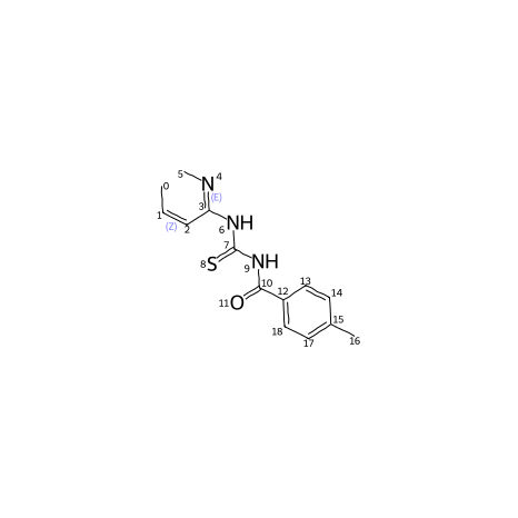 C/C=C\C(=N/C)NC(=S)NC(=O)c1ccc(C)cc1